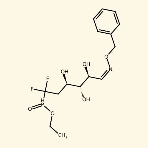 CCO[PH](=O)C(F)(F)C[C@@H](O)[C@@H](O)[C@@H](O)/C=N\OCc1ccccc1